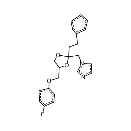 Clc1ccc(OCC2COC(CCc3ccccc3)(Cn3ccnc3)O2)cc1